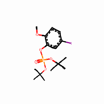 COc1ccc(I)cc1OP(=O)(OC(C)(C)C)OC(C)(C)C